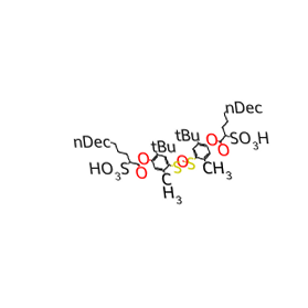 CCCCCCCCCCCCCC(C(=O)Oc1cc(C)c(SOSc2cc(C(C)(C)C)c(OC(=O)C(CCCCCCCCCCCCC)S(=O)(=O)O)cc2C)cc1C(C)(C)C)S(=O)(=O)O